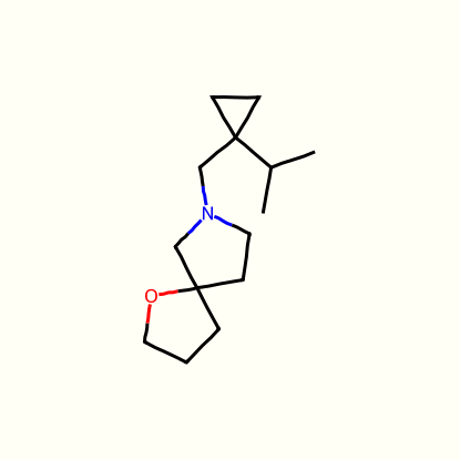 CC(C)C1(CN2CCC3(CCCO3)C2)CC1